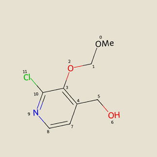 COCOc1c(CO)ccnc1Cl